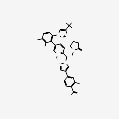 NC(=O)c1ccc(-c2cnn([C@@H](CN3CCCC3=O)c3ccc(-c4c(-n5cc(C(F)(F)F)nn5)ccc(Cl)c4F)c[n+]3O)c2)cc1F